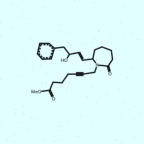 COC(=O)CCCC#CCN1C(=O)CCCCC1C=CC(O)Cc1ccccc1